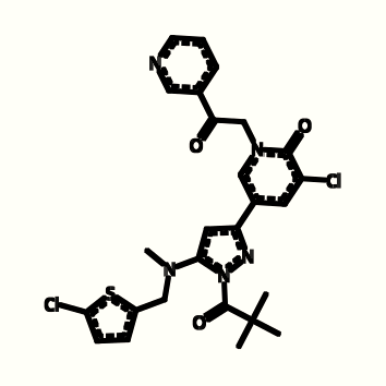 CN(Cc1ccc(Cl)s1)c1cc(-c2cc(Cl)c(=O)n(CC(=O)c3cccnc3)c2)nn1C(=O)C(C)(C)C